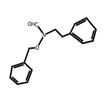 O=CN(CCc1ccccc1)OCc1ccccc1